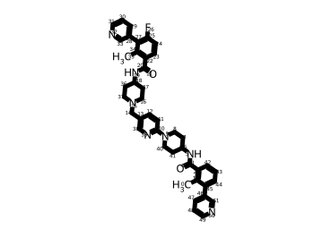 Cc1c(C(=O)NC2CCN(c3ccc(CN4CCC(NC(=O)c5ccc(F)c(-c6cccnc6)c5C)CC4)cn3)CC2)cccc1-c1cccnc1